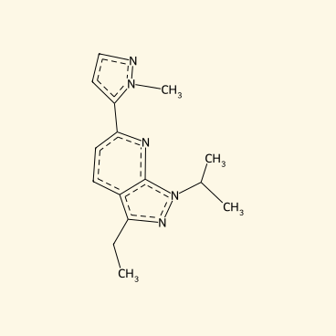 CCc1nn(C(C)C)c2nc(-c3ccnn3C)ccc12